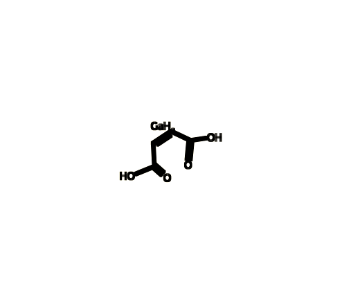 O=C(O)/C=C\C(=O)O.[GaH3]